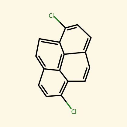 Clc1ccc2ccc3c(Cl)ccc4ccc1c2c43